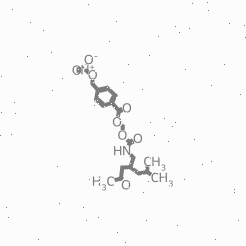 CC(=O)CC(CNC(=O)OCOC(=O)c1ccc(CO[N+](=O)[O-])cc1)CC(C)C